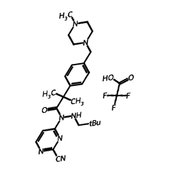 CN1CCN(Cc2ccc(C(C)(C)C(=O)N(NCC(C)(C)C)c3ccnc(C#N)n3)cc2)CC1.O=C(O)C(F)(F)F